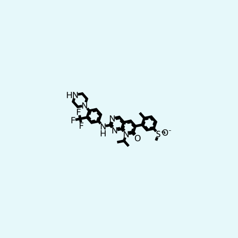 Cc1ccc([S+](C)[O-])cc1-c1cc2cnc(Nc3ccc(N4CCNCC4)c(C(F)(F)F)c3)nc2n(C(C)C)c1=O